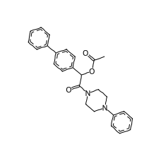 CC(=O)OC(C(=O)N1CCN(c2ccccc2)CC1)c1ccc(-c2ccccc2)cc1